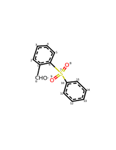 O=[C]c1ccccc1S(=O)(=O)c1ccccc1